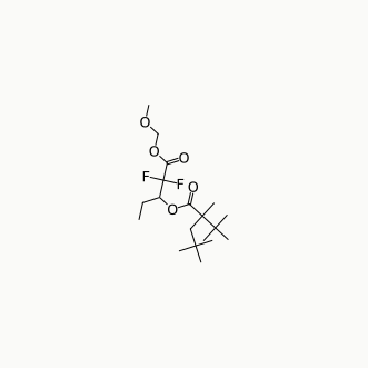 CCC(OC(=O)C(C)(CC(C)(C)C)C(C)(C)C)C(F)(F)C(=O)OCOC